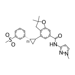 Cn1ccc(NC(=O)c2cc3c(c(C4C[C@@H]4c4cccc(S(C)(=O)=O)c4)c2)CC(C)(C)O3)n1